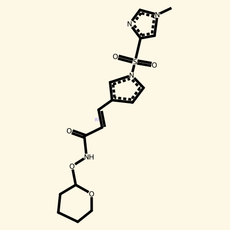 Cn1cnc(S(=O)(=O)n2ccc(/C=C/C(=O)NOC3CCCCO3)c2)c1